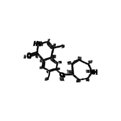 Cc1cc2c(=O)[nH]cc(C)c2cc1OC1CCCNCC1